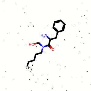 CCCCCN(CO)C(=O)C(N)Cc1ccccc1